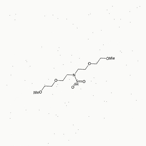 COCCOCCN(CCOCCOC)[SH](=O)=O